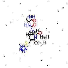 Cn1nnnc1SCC1=C(C(=O)O)N2C(=O)[C@@H]3[C@H]2[C@H](C1)CN3C(=O)N[C@H]1CCNC1=O.[NaH]